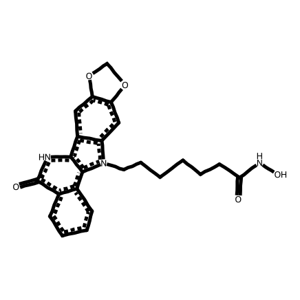 O=C(CCCCCCn1c2cc3c(cc2c2[nH]c(=O)c4ccccc4c21)OCO3)NO